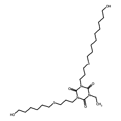 CCn1c(=O)n(CCCSCCCCCCO)c(=O)n(CCCSCCCCCCCCCO)c1=O